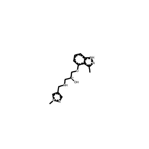 Cc1n[nH]c2cccc(OC[C@@H](O)CNCc3cnn(C)c3)c12